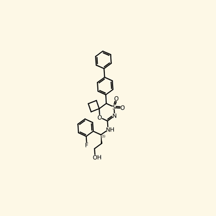 O=S1(=O)N=C(N[C@@H](CCO)c2ccccc2F)OC2(CCC2)C1c1ccc(-c2ccccc2)cc1